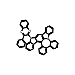 c1ccc(-c2nc3ccccc3nc2-n2c3ccccc3c3c4c5c(cc32)c2ccccc2n5-c2ccccc2-c2ccccc2-4)cc1